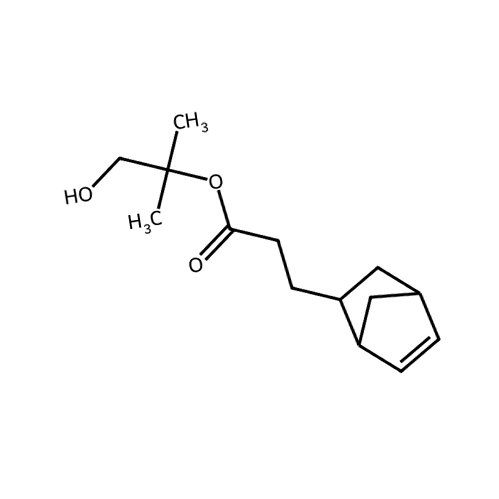 CC(C)(CO)OC(=O)CCC1CC2C=CC1C2